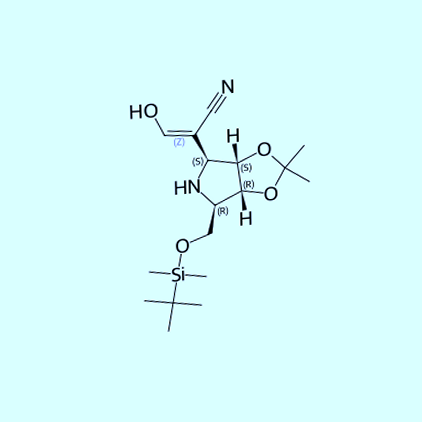 CC1(C)O[C@@H]2[C@H](O1)[C@@H](CO[Si](C)(C)C(C)(C)C)N[C@H]2/C(C#N)=C/O